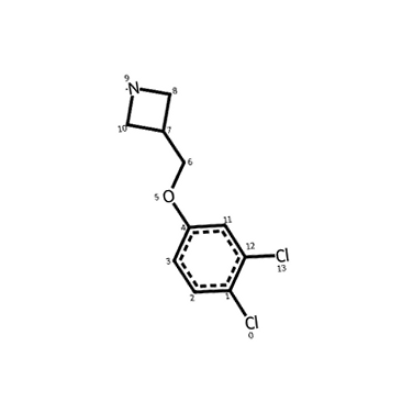 Clc1ccc(OCC2C[N]C2)cc1Cl